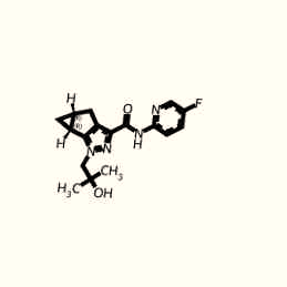 CC(C)(O)Cn1nc(C(=O)Nc2ccc(F)cn2)c2c1[C@@H]1C[C@@H]1C2